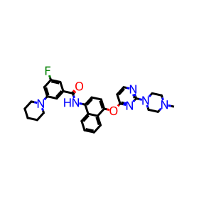 CN1CCN(c2nccc(Oc3ccc(NC(=O)c4cc(F)cc(N5CCCCC5)c4)c4ccccc34)n2)CC1